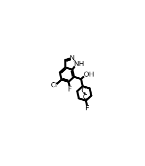 OC(c1c(F)c(Cl)cc2cn[nH]c12)C12CCC(F)(CC1)CC2